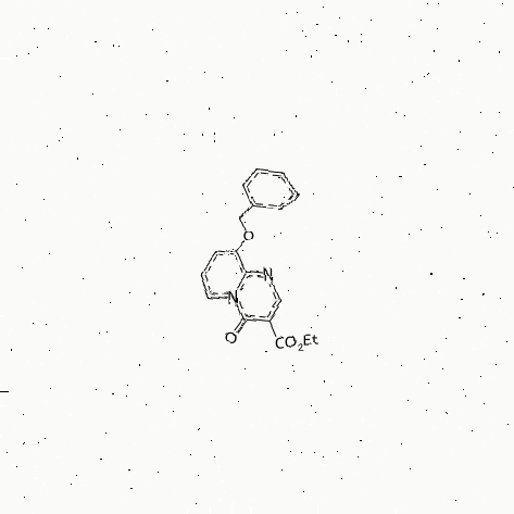 CCOC(=O)c1cnc2c(OCc3ccccc3)cccn2c1=O